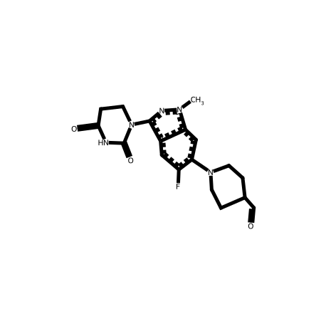 Cn1nc(N2CCC(=O)NC2=O)c2cc(F)c(N3CCC(C=O)CC3)cc21